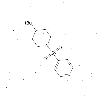 CC(C)(C)C1CCN(S(=O)(=O)c2ccccc2)CC1